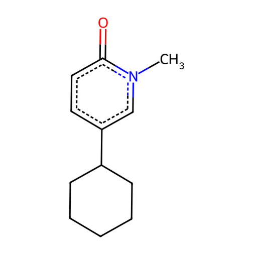 Cn1cc(C2CCCCC2)ccc1=O